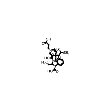 CCC1N(C(=O)O)c2ccc3cc2[N+]1(C(=O)O)N3C1(C(=O)C(C)C)C=CN(CCC(=O)O)C=C1.[Cl-]